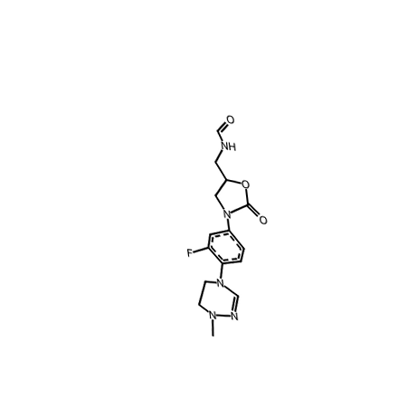 CN1CCN(c2ccc(N3CC(CNC=O)OC3=O)cc2F)C=N1